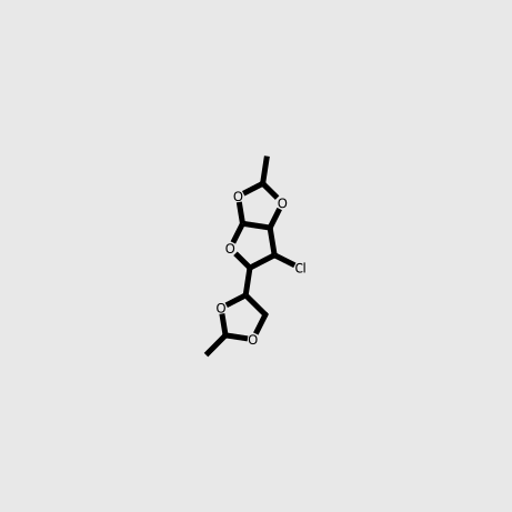 CC1OCC(C2OC3OC(C)OC3C2Cl)O1